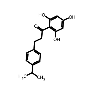 CC(C)c1ccc(CCC(=O)c2c(O)cc(O)cc2O)cc1